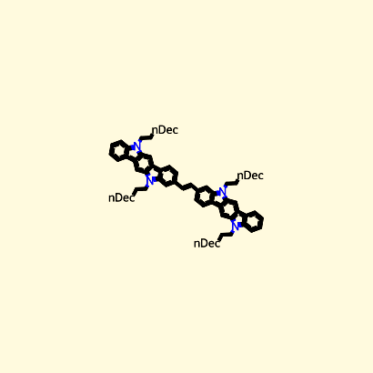 CCCCCCCCCCCCn1c2ccccc2c2cc3c(cc21)c1ccc(/C=C/c2ccc4c5cc6c(cc5n(CCCCCCCCCCCC)c4c2)c2ccccc2n6CCCCCCCCCCCC)cc1n3CCCCCCCCCCCC